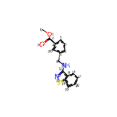 COC(=O)c1cccc(CNc2nsc3ccccc23)c1